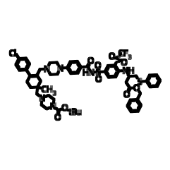 CC1(CN2CCN(C(=O)OC(C)(C)C)CC2)CCC(c2ccc(Cl)cc2)=C(CN2CCN(c3ccc(C(=O)NS(=O)(=O)c4ccc(NC(CSc5ccccc5)CC(=O)OCc5ccccc5)c(S(=O)(=O)C(F)(F)F)c4)cc3)CC2)C1